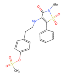 CC(C)(C)N1C(=O)C(NCCc2ccc(OS(C)(=O)=O)cc2)=C(c2ccccc2)S1(=O)=O